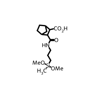 CO[Si](C)(CCCNC(=O)C1C2CCC(C2)C1C(=O)O)OC